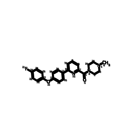 CN1CCN(C(=O)c2cccc(-c3ccc(Oc4ccc(F)cc4)cc3)n2)CC1